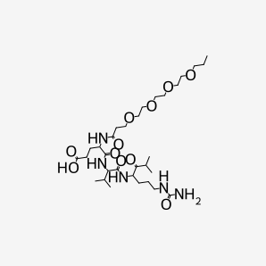 CCCOCCOCCOCCOCCC(=O)NC(CCC(=O)O)C(=O)NC(C(=O)NC(CCCNC(N)=O)C(=O)C(C)C)C(C)C